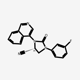 N#C[C@H]1CN(c2cccc(F)c2)C(=O)N1c1cncc2ccccc12